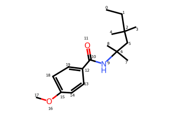 CCC(C)(C)CC(C)(C)NC(=O)c1ccc(OC)cc1